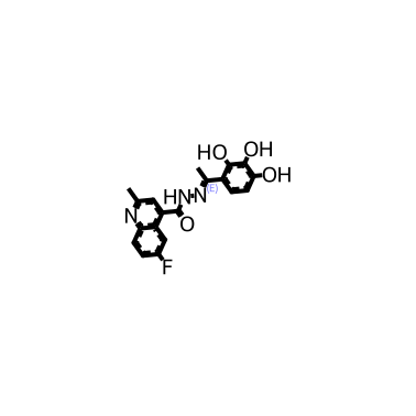 C/C(=N\NC(=O)c1cc(C)nc2ccc(F)cc12)c1ccc(O)c(O)c1O